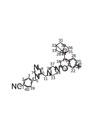 N#Cc1ccc(Cn2cncc2CN2CCN(C(=O)CC(c3ccc(F)cc3)C3C4CC5CC(C4)CC3C5)CC2)cc1